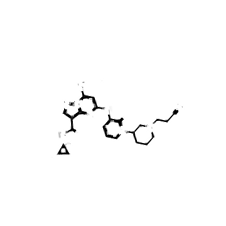 CNc1cc(Nc2cccn(C3CCCN(CCC#N)C3)c2=O)nc2c(C(=O)N[C@@H]3C[C@@H]3F)cnn12